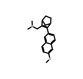 COc1ccc2cc(C3=C(CN(C)C)C4CCC3C4)ccc2c1